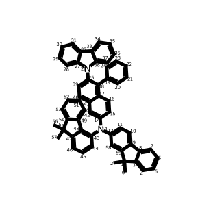 CC1(C)c2ccccc2-c2ccc(N(c3ccc4c(-c5ccccc5)c(-n5c6ccccc6c6ccccc65)ccc4c3)c3cccc4c3-c3ccccc3C4(C)C)cc21